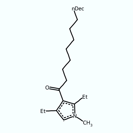 CCCCCCCCCCCCCCCCCC(=O)c1c(CC)[c]n(C)c1CC